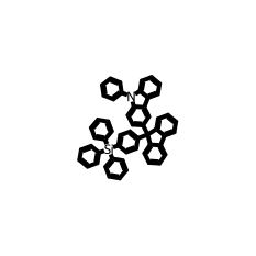 c1ccc(-n2c3ccccc3c3cc(C4(c5ccc([Si](c6ccccc6)(c6ccccc6)c6ccccc6)cc5)c5ccccc5-c5ccccc54)ccc32)cc1